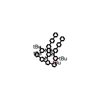 CC(C)(C)c1cc(N2c3ccc(-c4ccc(-c5ccccc5)cc4)cc3B3c4cc(-c5ccc(-c6ccccc6)cc5)ccc4N(c4cc(C(C)(C)C)cc(C(C)(C)C)c4)c4cc(-n5c6cc(-c7ccccc7)ccc6c6ccc(-c7ccccc7)cc65)cc2c43)cc(C(C)(C)C)c1